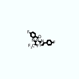 O=c1c2ccc(F)cc2nc(C(F)C(F)(F)F)n1-c1nc(-c2ccc(F)cc2)cs1